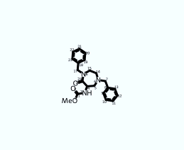 COC(=O)NC1CN(Cc2ccccc2)CCN(Cc2ccccc2)C1=O